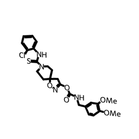 COc1ccc(CNC(=O)OC2=NOC3(CCN(C(=S)Nc4ccccc4Cl)CC3)C2)cc1OC